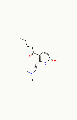 CCCCC(=O)c1ccc(=O)[nH]c1/C=C/N(C)C